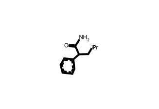 CC(C)C[C](C(N)=O)c1ccccc1